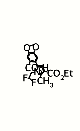 CCOC(=O)c1cc(-c2cc3c(cc2C(=O)O)OCO3)n(CC(F)F)c1C